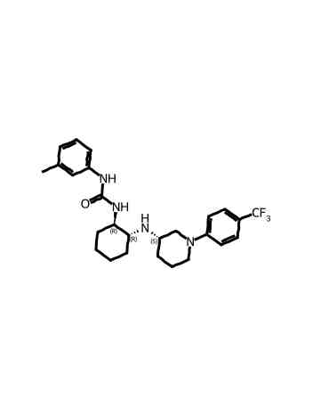 Cc1cccc(NC(=O)N[C@@H]2CCCC[C@H]2N[C@H]2CCCN(c3ccc(C(F)(F)F)cc3)C2)c1